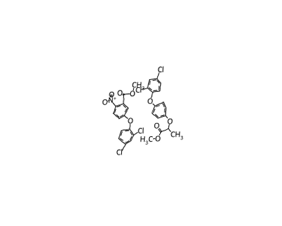 COC(=O)C(C)Oc1ccc(Oc2ccc(Cl)cc2Cl)cc1.COC(=O)c1cc(Oc2ccc(Cl)cc2Cl)ccc1[N+](=O)[O-]